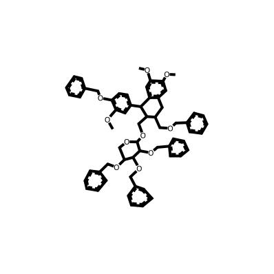 COc1cc2c(cc1OC)C(c1ccc(OCc3ccccc3)c(OC)c1)C(COC1OCC(OCc3ccccc3)C(OCc3ccccc3)C1OCc1ccccc1)C(COCc1ccccc1)C2